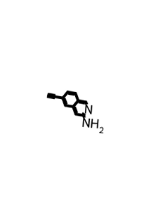 C#Cc1ccc2cnc(N)cc2c1